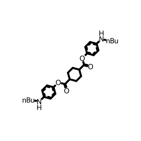 CCCCNc1ccc(OC(=O)C2CCC(C(=O)Oc3ccc(NCCCC)cc3)CC2)cc1